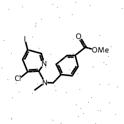 COC(=O)c1ccc(CN(C)c2ncc(I)cc2Cl)cc1